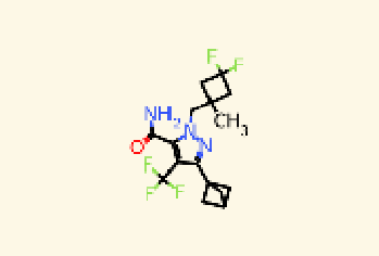 CC1(Cn2nc(C34CC(C3)C4)c(C(F)(F)F)c2C(N)=O)CC(F)(F)C1